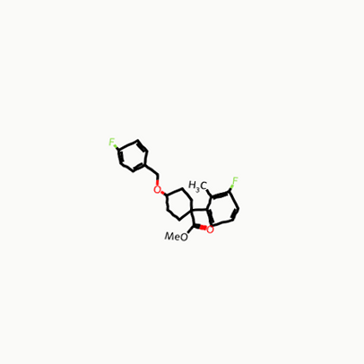 COC(=O)C1(c2cccc(F)c2C)CCC(OCc2ccc(F)cc2)CC1